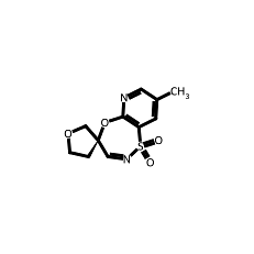 Cc1cnc2c(c1)S(=O)(=O)N=C[C@@]1(CCOC1)O2